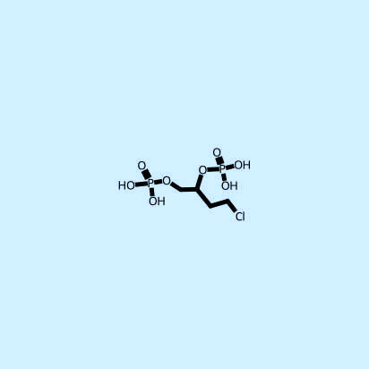 O=P(O)(O)OCC(CCCl)OP(=O)(O)O